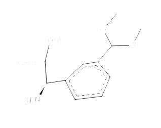 COC(OC)c1cccc([C@@H](N)[C@H](C)O)c1